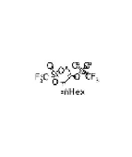 CCCCCCC(OS(=O)(=O)C(F)(F)F)C(C)OS(=O)(=O)C(F)(F)F